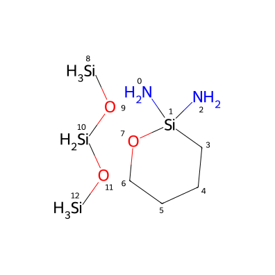 N[Si]1(N)CCCCO1.[SiH3]O[SiH2]O[SiH3]